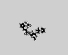 Cc1nc(NNC(=O)[C@@H](CNC(=O)O)CC2CCCC2)c(F)c(N2CC(C)(N3CCCC3)C2)n1